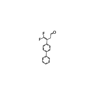 O=CCC(=C(F)F)c1ccc(-c2ccccc2)cc1